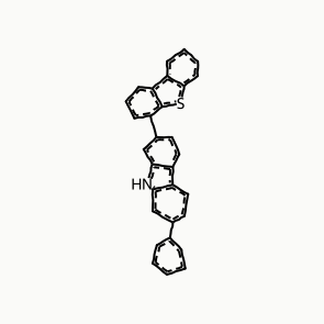 c1ccc(-c2ccc3c(c2)[nH]c2cc(-c4cccc5c4sc4ccccc45)ccc23)cc1